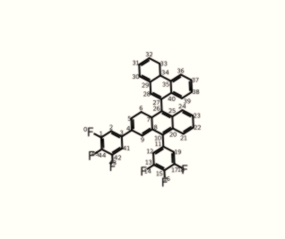 Fc1cc(C2=CCC3C(=C2)C(c2cc(F)c(F)c(F)c2)=c2ccccc2=C3C2=CC3=CC=CCC3c3ccccc32)cc(F)c1F